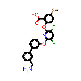 CSc1ccc(Oc2nc(Oc3cccc(-c4cccc(CN)c4)c3)c(F)cc2F)c(C(=O)O)c1